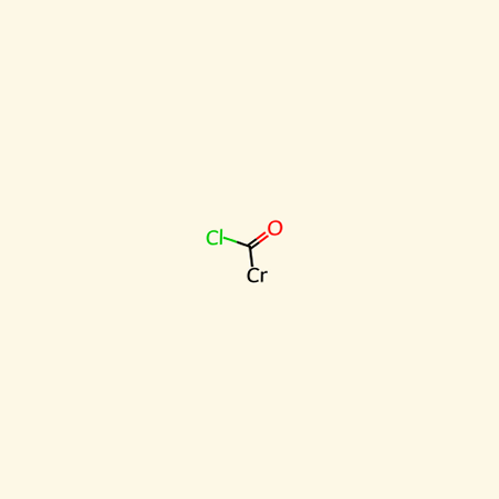 O=[C](Cl)[Cr]